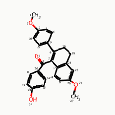 COc1ccc(C2=C(C(=O)c3ccc(O)cc3)c3ccc(OC)cc3CC2)cc1